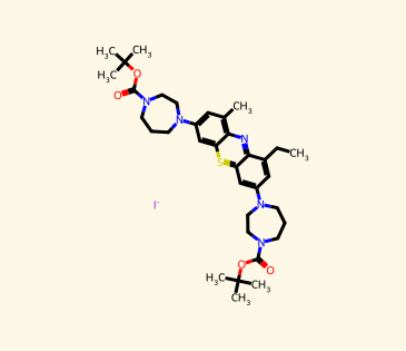 CCc1cc(N2CCCN(C(=O)OC(C)(C)C)CC2)cc2[s+]c3cc(N4CCCN(C(=O)OC(C)(C)C)CC4)cc(C)c3nc12.[I-]